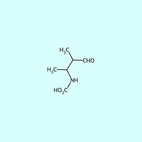 CC(C=O)C(C)NC(=O)O